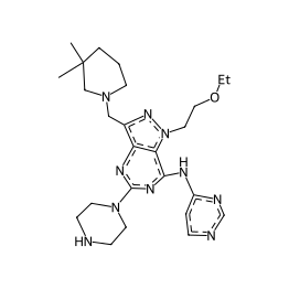 CCOCCn1nc(CN2CCCC(C)(C)C2)c2nc(N3CCNCC3)nc(Nc3ccncn3)c21